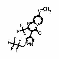 COc1ccn2c(=O)c(-c3cnn(CC(F)(F)C(F)(F)F)c3)c(C(F)(F)F)nc2c1